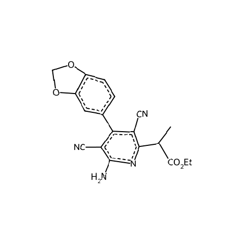 CCOC(=O)C(C)c1nc(N)c(C#N)c(-c2ccc3c(c2)OCO3)c1C#N